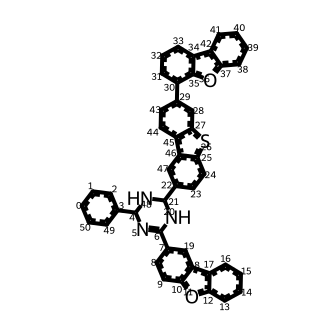 c1ccc(C2N=C(c3ccc4oc5ccccc5c4c3)NC(c3ccc4sc5cc(-c6cccc7c6oc6ccccc67)ccc5c4c3)N2)cc1